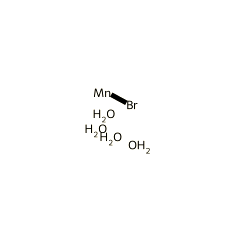 O.O.O.O.[Mn][Br]